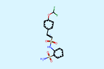 NS(=O)(=O)c1ccccc1NS(=O)(=O)/C=C/c1ccc(OC(F)F)cc1